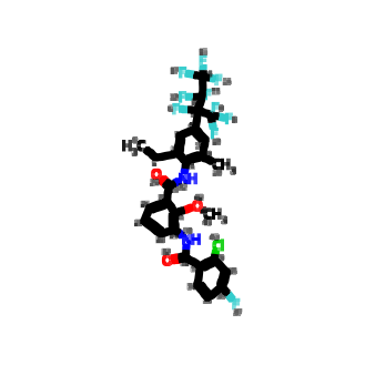 CCc1cc(C(F)(C(F)(F)F)C(F)(F)C(F)(F)F)cc(C)c1NC(=O)c1cccc(NC(=O)c2ccc(F)cc2Cl)c1OC